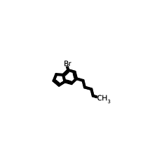 CCCCCc1cc(Br)c2c(c1)C=CC2